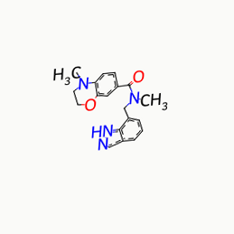 CN(Cc1cccc2cn[nH]c12)C(=O)c1ccc2c(c1)OCCN2C